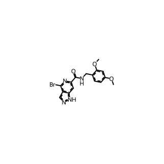 COc1ccc(CNC(=O)c2cc3[nH]ncc3c(Br)n2)c(OC)c1